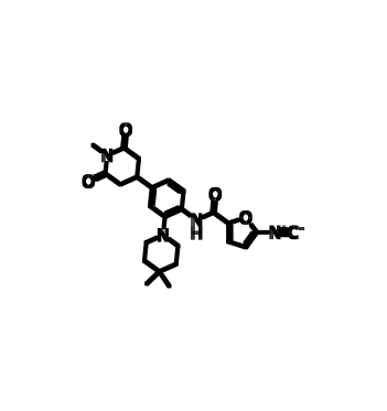 [C-]#[N+]c1ccc(C(=O)Nc2ccc(C3CC(=O)N(C)C(=O)C3)cc2N2CCC(C)(C)CC2)o1